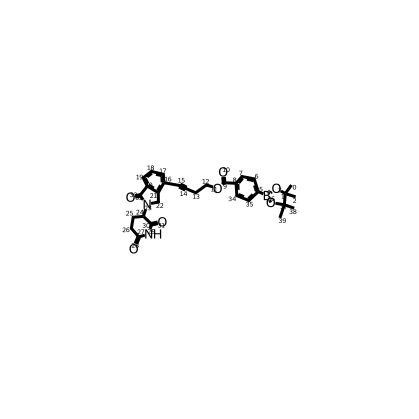 CC1(C)OB(c2ccc(C(=O)OCCC#Cc3cccc4c3CN(C3CCC(=O)NC3=O)C4=O)cc2)OC1(C)C